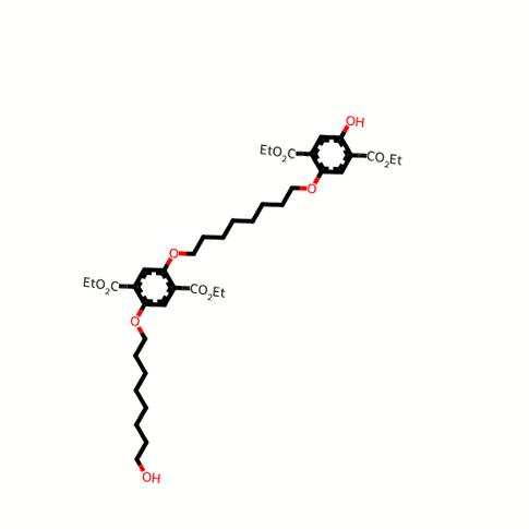 CCOC(=O)c1cc(OCCCCCCCCOc2cc(C(=O)OCC)c(OCCCCCCCCO)cc2C(=O)OCC)c(C(=O)OCC)cc1O